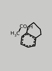 CC(=O)O.c1ccc2c(c1)CCCC2